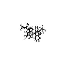 COC(=O)C1CN(C(=O)C2CC2)[C@@H]2CCN(C(=O)[C@@H](NC(=O)OC(C)(C)C)C3CCCCC3)[C@H]12